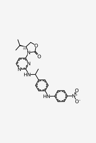 CC(Nc1nccc(N2C(=O)OC[C@@H]2C(C)C)n1)c1ccc(Nc2ccc([N+](=O)[O-])cc2)cc1